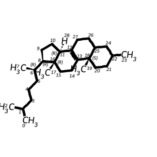 CC(C)CCC[C@@H](C)[C@H]1CC[C@H]2C3=C(CC[C@]12C)[C@@]1(C)CCC(C)CC1CC3